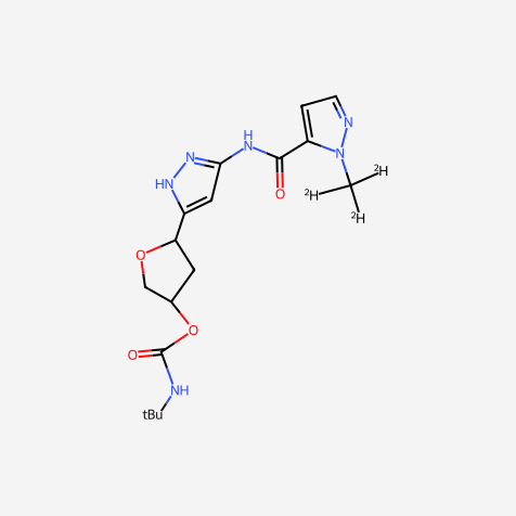 [2H]C([2H])([2H])n1nccc1C(=O)Nc1cc(C2CC(OC(=O)NC(C)(C)C)CO2)[nH]n1